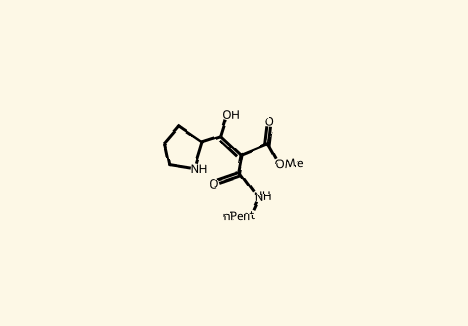 CCCCCNC(=O)/C(C(=O)OC)=C(/O)C1CCCN1